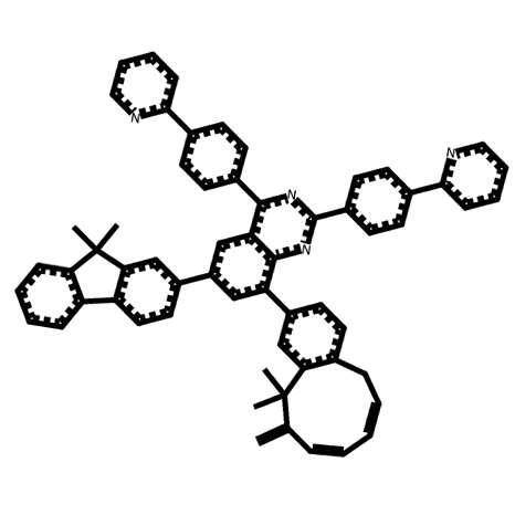 C=C1/C=C\C=C/Cc2ccc(-c3cc(-c4ccc5c(c4)C(C)(C)c4ccccc4-5)cc4c(-c5ccc(-c6ccccn6)cc5)nc(-c5ccc(-c6ccccn6)cc5)nc34)cc2C1(C)C